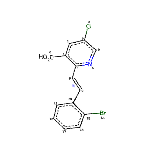 O=C(O)c1cc(Cl)cnc1/C=C/c1ccccc1Br